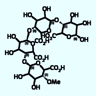 CO[C@H]1C(C(=O)O)O[C@H](O[C@H]2C(C(=O)O)O[C@H](O[C@H]3C(C(=O)O)O[C@H](O[C@H]4C(C(=O)O)O[C@H](O)C(O)C4O)C(O)C3O)C(O)C2O)C(O)C1O